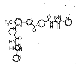 O=C(Nc1nnc(-c2ccccn2)[nH]1)C1CCN(C(=O)c2cc(-c3ccc(C(F)(F)F)c(N4CCCC(C(=O)Nc5nnc(-c6ccccn6)[nH]5)C4)n3)cs2)CC1